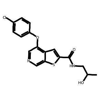 CC(O)CNC(=O)c1cc2c(Oc3ccc(Cl)cc3)cncc2s1